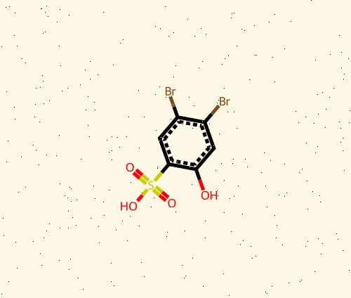 O=S(=O)(O)c1cc(Br)c(Br)cc1O